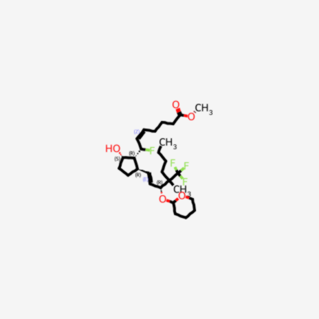 CCCCC(C)([C@@H](/C=C/[C@H]1CC[C@H](O)[C@@H]1C(F)/C=C\CCCC(=O)OC)OC1CCCCO1)C(F)(F)F